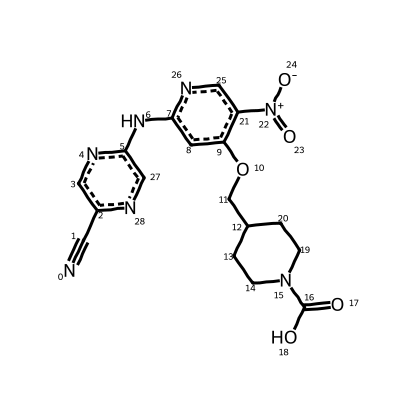 N#Cc1cnc(Nc2cc(OCC3CCN(C(=O)O)CC3)c([N+](=O)[O-])cn2)cn1